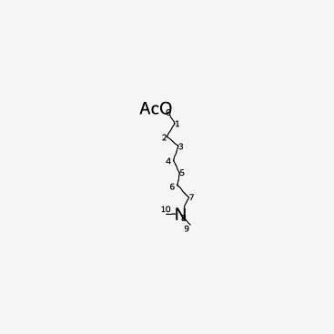 CC(=O)OCCCCCCCN(C)C